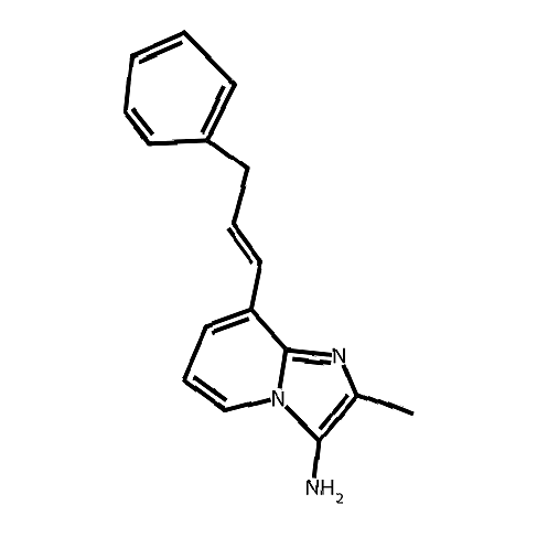 Cc1nc2c(C=CCc3ccccc3)cccn2c1N